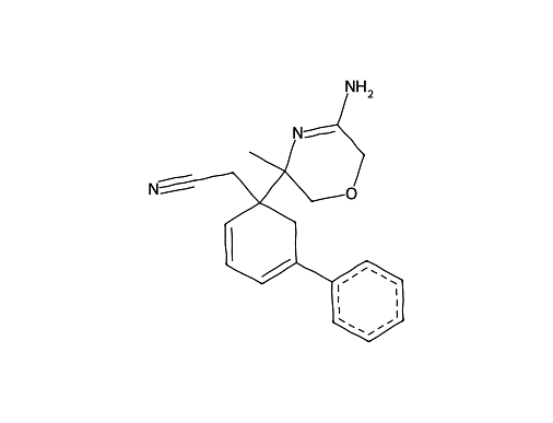 CC1(C2(CC#N)C=CC=C(c3ccccc3)C2)COCC(N)=N1